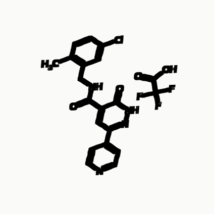 Cc1ccc(Cl)cc1CNC(=O)c1cc(-c2ccncc2)n[nH]c1=O.O=C(O)C(F)(F)F